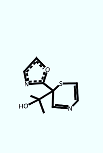 CC(C)(O)C1(c2nc[c]o2)C=NC=CS1